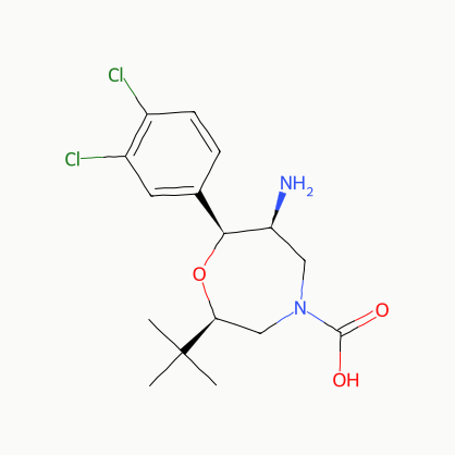 CC(C)(C)[C@@H]1CN(C(=O)O)C[C@H](N)[C@H](c2ccc(Cl)c(Cl)c2)O1